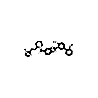 COc1ncccc1-c1ccc(O)c(-c2nc3cc(C(=O)N4CCCCC4CCc4nccn4C)ccc3[nH]2)c1